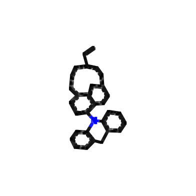 C=Cc1cccc2ccc(N3c4ccccc4Cc4ccccc43)c3ccc(cc1)cc23